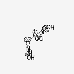 COc1cc2c(cc1OCCCOc1c(Br)c3c(c(Cl)c1OC)CN(C(=O)C[C@H](C)C(=O)O)C3)CN(C(=O)C[C@H](C)C(=O)O)C2